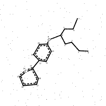 CCCCC(CCC)Oc1ccc(-c2ccccc2)cc1